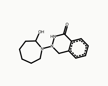 O=C1NN(N2CCCCCC2O)Cc2ccccc21